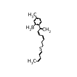 Bc1cc(C)ccc1C(=C)/C=C\C=C/CCS/C=C/C=C\C